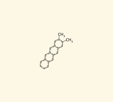 Cc1cc2cc3cc4ccccc4cc3cc2cc1C